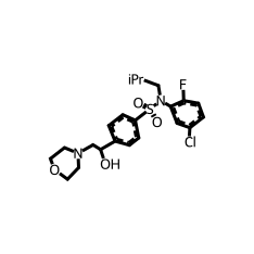 CC(C)CN(c1cc(Cl)ccc1F)S(=O)(=O)c1ccc(C(O)CN2CCOCC2)cc1